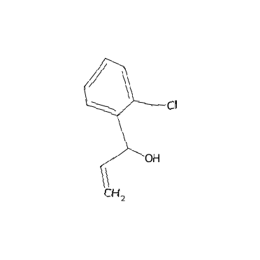 C=CC(O)c1ccccc1Cl